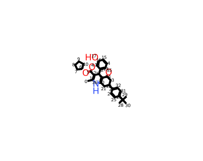 CC1=C(C(=O)OC2CCCC2)C(c2cccc(O)c2)C2=C(CC(c3ccc(C(C)(C)C)cc3)CC2=O)N1